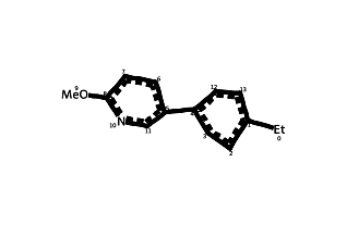 CCc1ccc(-c2ccc(OC)nc2)cc1